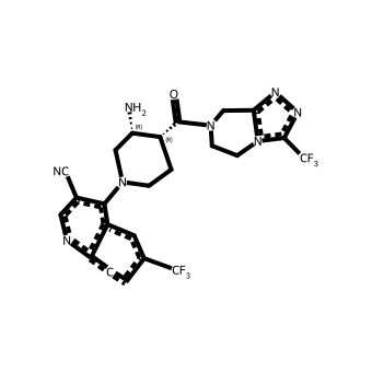 N#Cc1cnc2ccc(C(F)(F)F)cc2c1N1CC[C@@H](C(=O)N2CCn3c(nnc3C(F)(F)F)C2)[C@@H](N)C1